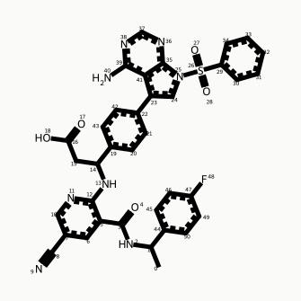 CC(NC(=O)c1cc(C#N)cnc1NC(CC(=O)O)c1ccc(-c2cn(S(=O)(=O)c3ccccc3)c3ncnc(N)c23)cc1)c1ccc(F)cc1